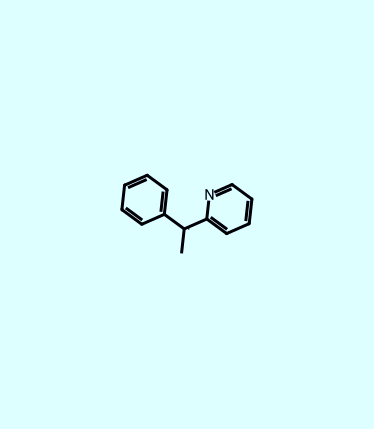 C[C](c1ccccc1)c1ccccn1